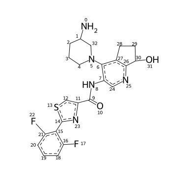 NC1CCCN(c2c(NC(=O)c3csc(-c4c(F)cccc4F)n3)cnc3c2CCC3O)C1